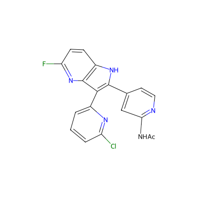 CC(=O)Nc1cc(-c2[nH]c3ccc(F)nc3c2-c2cccc(Cl)n2)ccn1